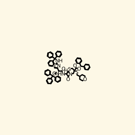 O=C(NC1C(=O)N2CC(SCC3CCOCC3)(C(=O)OC(c3ccccc3)c3ccccc3)CS[C@H]12)C(=NOC(c1ccccc1)(c1ccccc1)c1ccccc1)c1csc(NC(c2ccccc2)(c2ccccc2)c2ccccc2)n1